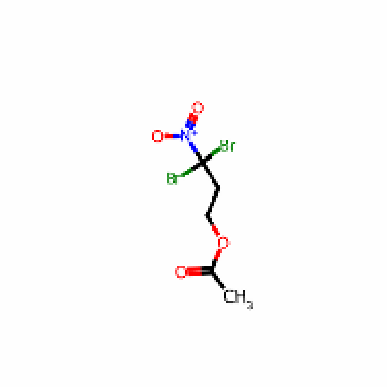 CC(=O)OCCC(Br)(Br)[N+](=O)[O-]